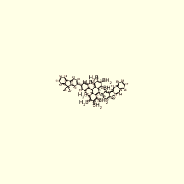 Bc1c(B)c(B)c2c(-c3ccc4oc5cc6ccccc6cc5c4c3)c3c(B)c(B)c(B)c(B)c3c(-c3ccc(-c4ccc5c(c4)C(C)(C)c4ccccc4-5)cc3)c2c1B